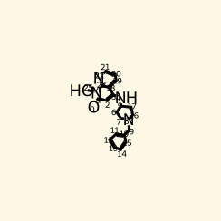 O=c1cc(NC2CCN(Cc3ccccc3)CC2)c2cccnc2n1O